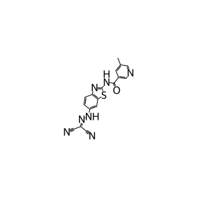 Cc1cncc(C(=O)Nc2nc3ccc(NN=C(C#N)C#N)cc3s2)c1